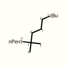 CCCCCC(C)(C)CCCC(C)(C)C